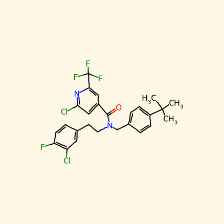 CC(C)(C)c1ccc(CN(CCc2ccc(F)c(Cl)c2)C(=O)c2cc(Cl)nc(C(F)(F)F)c2)cc1